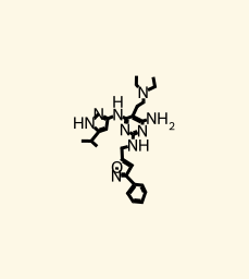 CCN(CC)CCc1c(N)nc(NCc2cc(-c3ccccc3)no2)nc1Nc1cc(C(C)C)[nH]n1